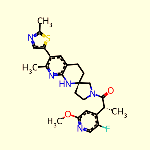 COc1cc([C@@H](C)C(=O)N2CC[C@@]3(CCc4cc(-c5cnc(C)s5)c(C)nc4N3)C2)c(F)cn1